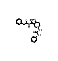 O=C(Cc1ccccc1)Nc1[nH]nc2c1CN(NC(=O)Nc1ccccc1)CC2